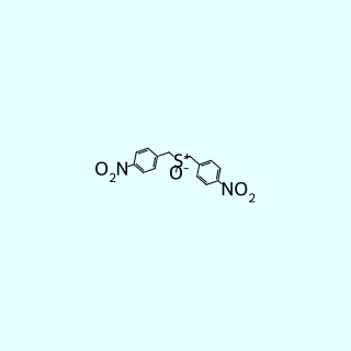 O=[N+]([O-])c1ccc(C[S+]([O-])Cc2ccc([N+](=O)[O-])cc2)cc1